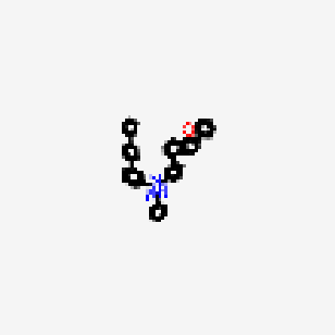 c1ccc(-c2ccc(-c3cccc(-c4nc(-c5ccccc5)nc(-c5cccc(-c6cccc7c6ccc6c8ccccc8oc76)c5)n4)c3)cc2)cc1